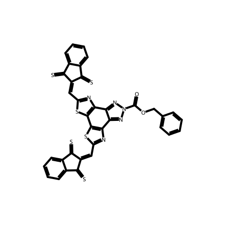 O=C(OCc1ccccc1)n1nc2c(n1)c1nc(C=C3C(=S)c4ccccc4C3=S)sc1c1sc(C=C3C(=S)c4ccccc4C3=S)nc21